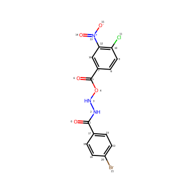 O=C(NNOC(=O)c1ccc(Cl)c([N+](=O)[O-])c1)c1ccc(Br)cc1